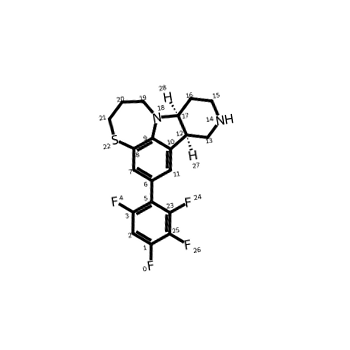 Fc1cc(F)c(-c2cc3c4c(c2)[C@@H]2CNCC[C@@H]2N4CCCS3)c(F)c1F